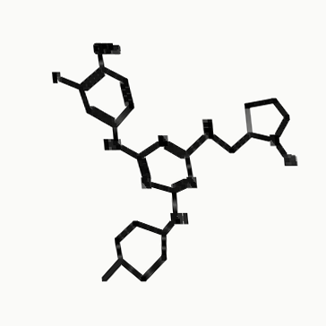 CCN1CCCC1CNc1nc(Nc2ccc(OC)c(F)c2)nc(NC2CCC(C)CC2)n1